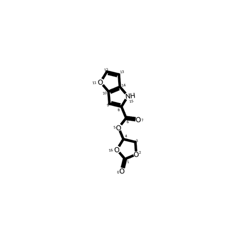 O=C1OCC(OC(=O)c2cc3occc3[nH]2)O1